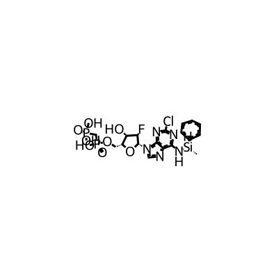 C[Si@H](Nc1nc(Cl)nc2c1ncn2[C@@H]1O[C@H](COP(=O)(O)CP(=O)(O)O)[C@@H](O)[C@@H]1F)c1ccccc1